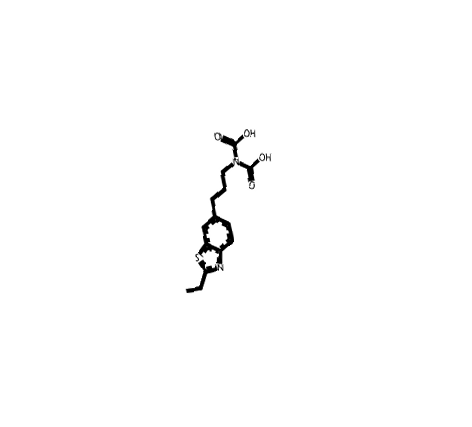 CCc1nc2ccc(CCCN(C(=O)O)C(=O)O)cc2s1